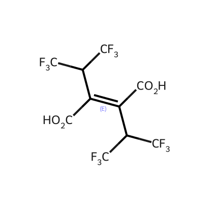 O=C(O)/C(=C(/C(=O)O)C(C(F)(F)F)C(F)(F)F)C(C(F)(F)F)C(F)(F)F